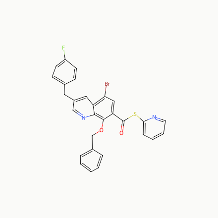 O=C(Sc1ccccn1)c1cc(Br)c2cc(Cc3ccc(F)cc3)cnc2c1OCc1ccccc1